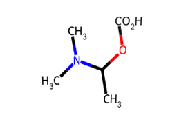 CC(OC(=O)O)N(C)C